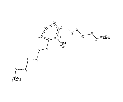 CC(C)(C)CCCCCCc1cccc(CCCCCCC(C)(C)C)c1O